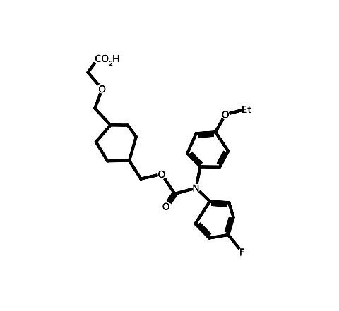 CCOc1ccc(N(C(=O)OCC2CCC(COCC(=O)O)CC2)c2ccc(F)cc2)cc1